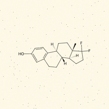 C[C@]12CC[C@@H]3c4ccc(O)cc4CC[C@H]3[C@@H]1CCC2(F)F